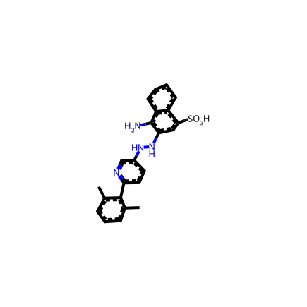 Cc1cccc(C)c1-c1ccc(NNc2cc(S(=O)(=O)O)c3ccccc3c2N)cn1